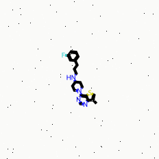 Cc1csc2c(N3CCC(NCCCc4cccc(F)c4)CC3)ncnc12